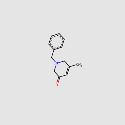 CC1=CC(=O)CN(Cc2ccccc2)C1